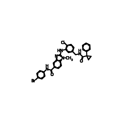 Cn1c(Nc2cc(CNC(=O)C3(c4ccccc4)CC3)ccc2Cl)nc2cc(C(=O)Nc3ccc(Br)cc3)ccc21